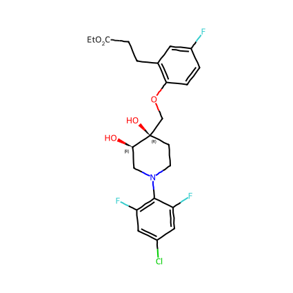 CCOC(=O)CCc1cc(F)ccc1OC[C@]1(O)CCN(c2c(F)cc(Cl)cc2F)C[C@H]1O